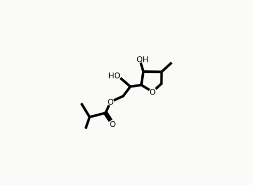 CC(C)C(=O)OCC(O)C1OCC(C)C1O